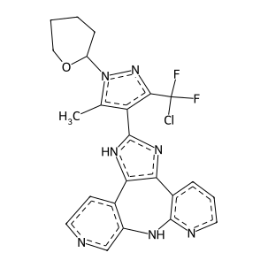 Cc1c(-c2nc3c([nH]2)-c2ccncc2Nc2ncccc2-3)c(C(F)(F)Cl)nn1C1CCCCO1